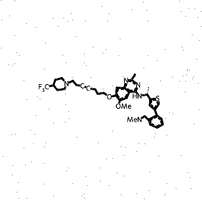 CNCc1ccccc1-c1csc([C@@H](C)Nc2nc(C)nc3cc(OCCCCCCCN4CCC(C(F)(F)F)CC4)c(OC)cc23)c1